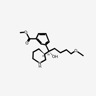 COCCCC[C@](O)(c1cccc(C(=O)OC)c1)[C@@H]1CCCNC1